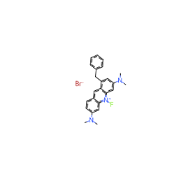 CN(C)c1ccc2cc3c(Cc4ccccc4)cc(N(C)C)cc3[n+](F)c2c1.[Br-]